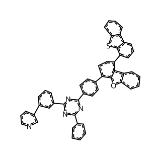 c1ccc(-c2nc(-c3ccc(-c4ccc(-c5cccc6c5sc5ccccc56)c5c4oc4ccccc45)cc3)nc(-c3cccc(-c4cccnc4)c3)n2)cc1